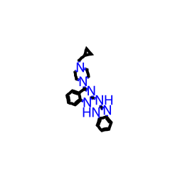 c1ccc2[nH]c(Nc3nc(N4CCN(CC5CC5)CC4)c4ccccc4n3)nc2c1